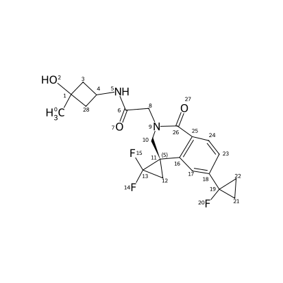 CC1(O)CC(NC(=O)CN2C[C@]3(CC3(F)F)c3cc(C4(F)CC4)ccc3C2=O)C1